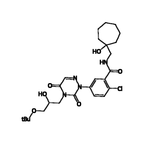 CC(C)(C)OCC(O)Cn1c(=O)cnn(-c2ccc(Cl)c(C(=O)NCC3(O)CCCCCC3)c2)c1=O